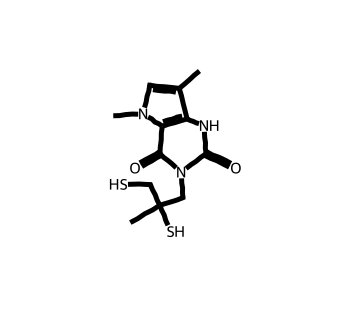 Cc1cn(C)c2c(=O)n(CC(C)(S)CS)c(=O)[nH]c12